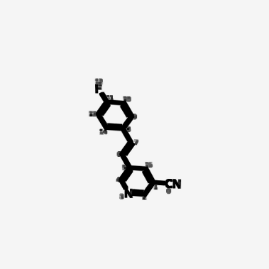 N#Cc1cncc(C=Cc2ccc(F)cc2)c1